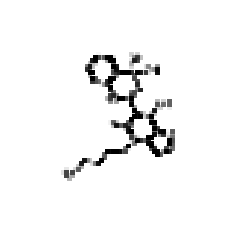 CCCCCn1c(=O)c(C2=NS(O)(O)c3ccccc3N2)c(O)c2sccc21